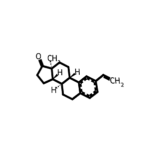 C=Cc1ccc2c(c1)[C@H]1CC[C@]3(C)C(=O)CC[C@H]3[C@@H]1CC2